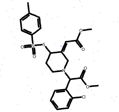 COC(=O)/C=C1\CN(C(C(=O)OC)c2ccccc2Cl)CCC1SS(=O)(=O)c1ccc(C)cc1